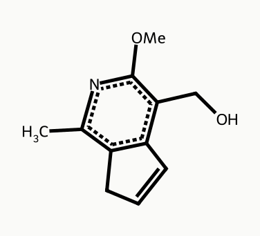 COc1nc(C)c2c(c1CO)C=CC2